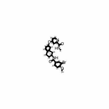 CNC(=O)c1cc(Oc2ccc3c(c2)CC(NC(=O)c2ccc(OC)c(Br)c2)CC3)ccn1